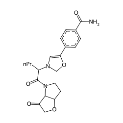 CCCC(C(=O)N1CCC2OCC(=O)C21)N1C=C(c2ccc(C(N)=O)cc2)OC1